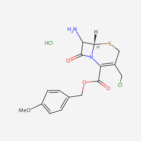 COc1ccc(COC(=O)C2=C(CCl)CS[C@H]3C(N)C(=O)N23)cc1.Cl